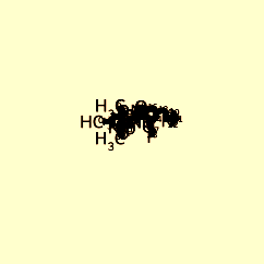 C#Cc1cc(OC)c(S(=O)(=O)Nc2noc3cc(Cn4cccn4)cc(OCF)c23)c(OC)n1